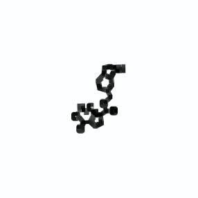 Cn1c(C(=O)Cl)ccc1C(=O)OCc1ccc2cc[nH]c2c1